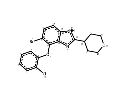 Clc1ccccc1Oc1c(Br)ccc2[nH]c(C3CCOCC3)nc12